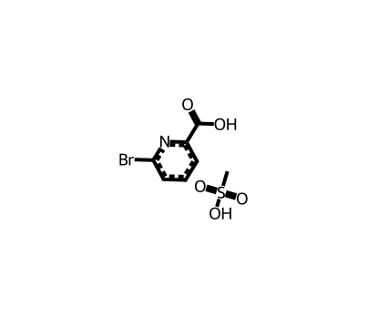 CS(=O)(=O)O.O=C(O)c1cccc(Br)n1